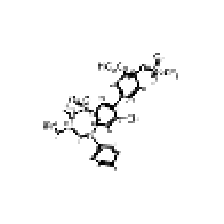 CC(C)C[C@@H]1CN(c2ccccc2)c2cc(Cl)c(-c3ccc(OS(=O)(=O)C(F)(F)F)c(C(=O)O)c3)cc2S(=O)(=O)N1C